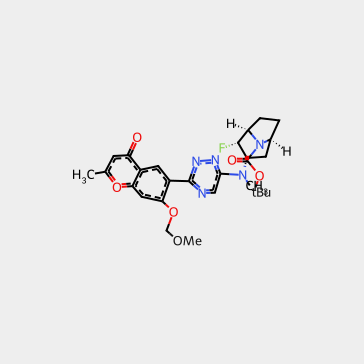 COCOc1cc2oc(C)cc(=O)c2cc1-c1ncc(N(C)[C@H]2C[C@@H]3CC[C@H]([C@H]2F)N3C(=O)OC(C)(C)C)nn1